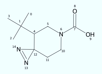 CC(C)(C)C1CN(C(=O)O)CCC12N=N2